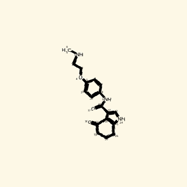 CNCCOc1ccc(NC(=O)c2c[nH]c3c2C(=O)CCC3)cc1